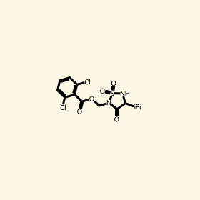 CC(C)C1NS(=O)(=O)N(COC(=O)c2c(Cl)cccc2Cl)C1=O